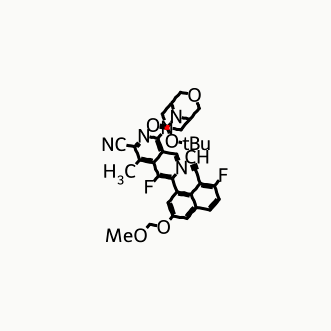 C#Cc1c(F)ccc2cc(OCOC)cc(-c3ncc4c(N5CC6COCC(C5)N6C(=O)OC(C)(C)C)nc(C#N)c(C)c4c3F)c12